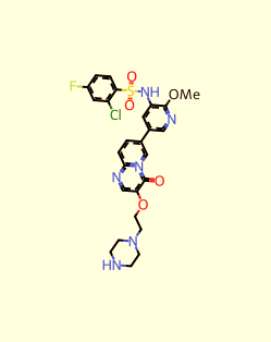 COc1ncc(-c2ccc3ncc(OCCN4CCNCC4)c(=O)n3c2)cc1NS(=O)(=O)c1ccc(F)cc1Cl